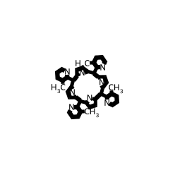 Cc1cccnc1C1=C2C=CC(=N2)C(c2ncccc2C)=C2C=CC(=N2)C(c2ncccc2C)=C2C=CC(=N2)C(c2ncccc2C)=C2C=CC1=N2